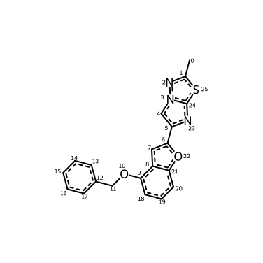 Cc1nn2cc(-c3cc4c(OCc5ccccc5)cccc4o3)nc2s1